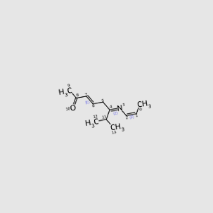 C/C=C\N=C(\C/C=C/C(C)=O)C(C)C